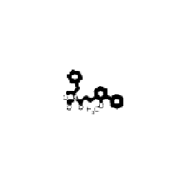 COc1c(C=CC(=O)N2C(=O)OCC2Cc2ccccc2)cccc1-c1ccccc1